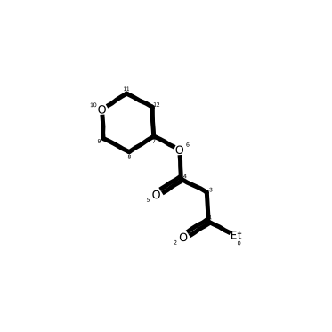 CCC(=O)CC(=O)OC1CCOCC1